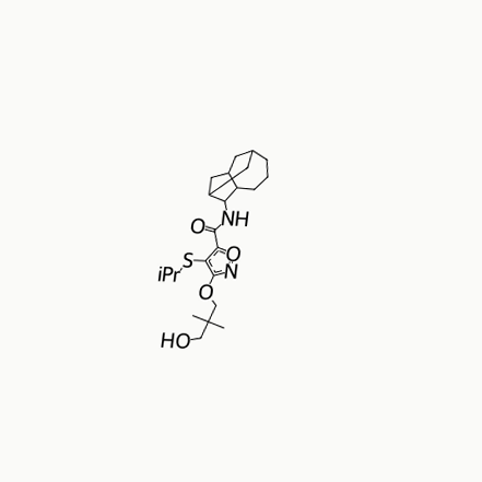 CC(C)Sc1c(OCC(C)(C)CO)noc1C(=O)NC1C2CC3CCCC1C(C3)C2